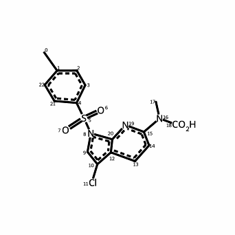 Cc1ccc(S(=O)(=O)n2cc(Cl)c3ccc(N(C)C(=O)O)nc32)cc1